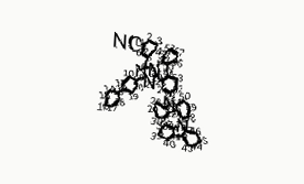 N#Cc1cccc(-c2nc(-c3ccc(-c4ccccc4)cc3)nc(-c3cc(-n4c5ccccc5c5c(-n6c7ccccc7c7ccccc76)cccc54)ccc3-c3ccccc3)n2)c1